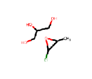 CC1OC1Cl.OCC(O)CO